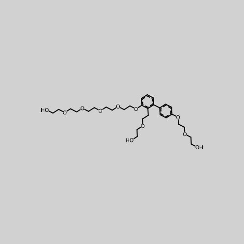 OCCOCCOCCOCCOCCOc1cc[c]c(-c2ccc(OCCOCCO)cc2)c1CCOCCO